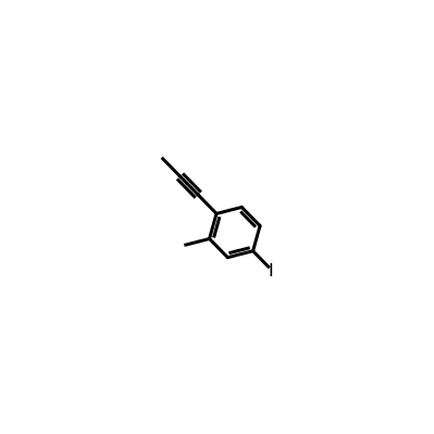 CC#Cc1ccc(I)cc1C